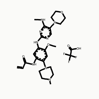 C=CC(=O)Nc1cc(Nc2ncc(N3CCOCC3)c(NC)n2)c(OC)cc1N1CCN(C)CC1.O=C(O)C(F)(F)F